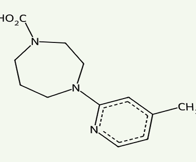 Cc1ccnc(N2CCCN(C(=O)O)CC2)c1